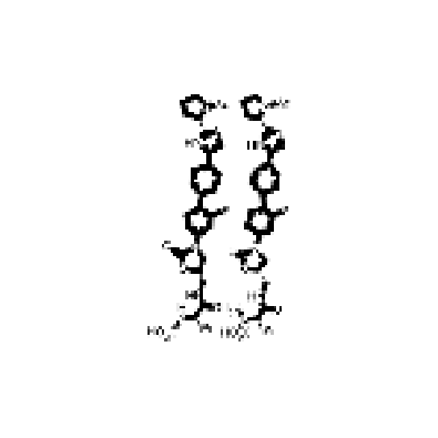 CC(=O)N1CCC[C@H]1c1ncc(-c2ccc(-c3ccc(N4C[C@H](CNC(=O)[C@@H](NC(=O)O)C(C)C)OC4=O)cc3F)cc2)[nH]1.CC(=O)N1CCC[C@H]1c1ncc(-c2ccc(-c3ccc(N4C[C@H](CNC(=O)[C@H](C(C)C)N(C)C(=O)O)OC4=O)cc3F)cc2)[nH]1